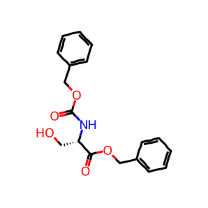 O=C(N[C@@H](CO)C(=O)OCc1ccccc1)OCc1ccccc1